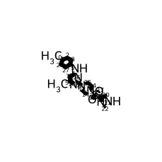 Cc1ccc(Nc2cc(C)nc(N3CCN(S(=O)(=O)c4c[nH]cn4)CC3)n2)cc1